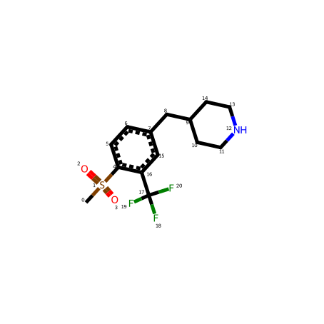 CS(=O)(=O)c1ccc(CC2CCNCC2)cc1C(F)(F)F